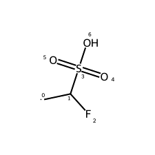 [CH2]C(F)S(=O)(=O)O